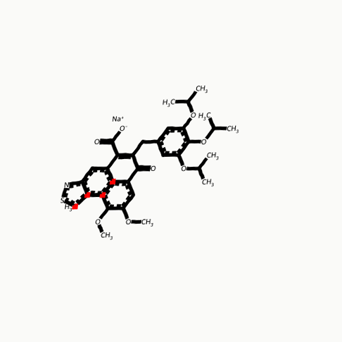 COc1cc(C(=O)/C(Cc2cc(OC(C)C)c(OC(C)C)c(OC(C)C)c2)=C(/C(=O)[O-])c2ccc3nsnc3c2)cc(OC)c1OC.[Na+]